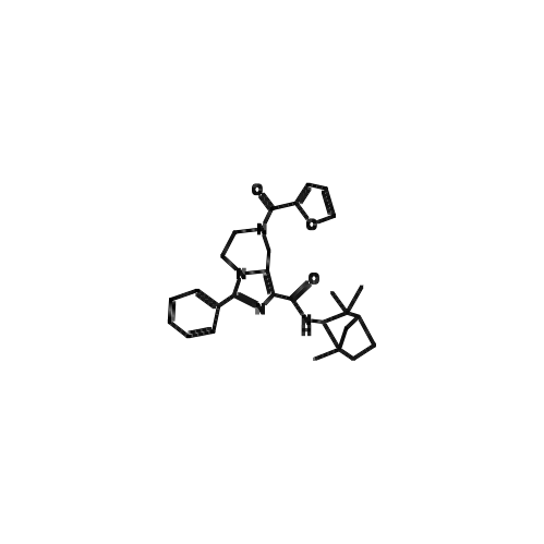 CC12CCC(C1)C(C)(C)C2NC(=O)c1nc(-c2ccccc2)n2c1CN(C(=O)c1ccco1)CC2